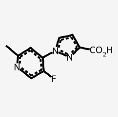 Cc1cc(-n2ccc(C(=O)O)n2)c(F)cn1